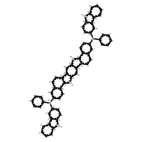 c1ccc(N(c2ccc3c(ccc4c5cc6oc7c8ccc(N(c9ccccc9)c9ccc%10oc%11ccccc%11c%10c9)cc8ccc7c6cc5oc34)c2)c2ccc3oc4ccccc4c3c2)cc1